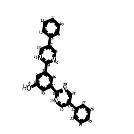 Oc1cc(-c2ncc(-c3ccccc3)cn2)cc(-c2ncc(-c3ccccc3)cn2)c1